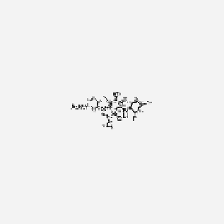 CC(=O)Nc1cccc(N2CN(C3CC3)C(=O)c3c2c(C)c(=O)n(C)c3Nc2ccc(I)cc2F)c1